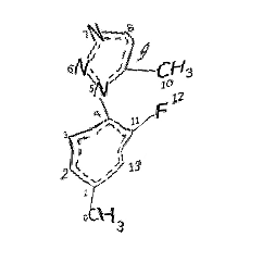 Cc1ccc(-n2nncc2C)c(F)c1